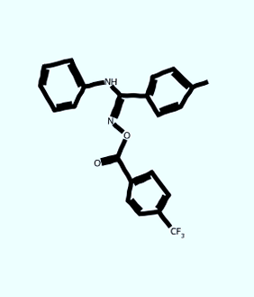 Cc1ccc(/C(=N\OC(=O)c2ccc(C(F)(F)F)cc2)Nc2ccccc2)cc1